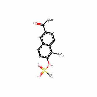 COC(=O)c1ccc2c([N+](=O)[O-])c(OS(=O)(=O)C(F)(F)F)ccc2c1